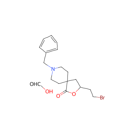 O=C1OC(CCBr)CC12CCN(Cc1ccccc1)CC2.O=CO